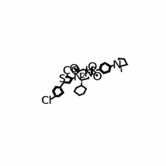 C[C@@H]1CCCN1c1ccc(S(=O)(=O)N2CC(=O)N(c3cc(-c4ccc(Cl)cc4)sc3C(=O)O)[C@H](C3CCCCC3)C2)cc1